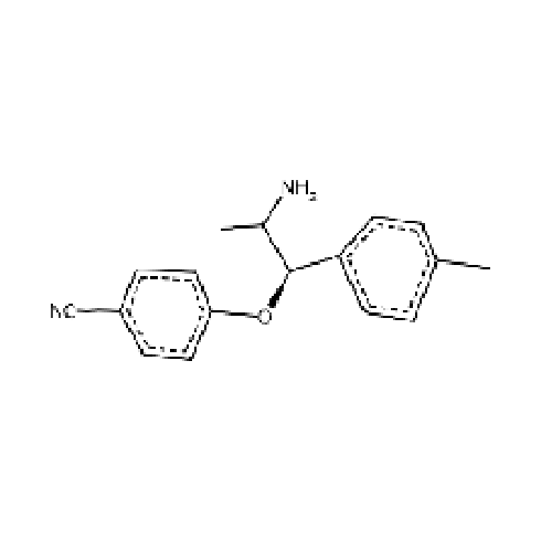 Cc1ccc([C@@H](Oc2ccc(C#N)cc2)C(C)N)cc1